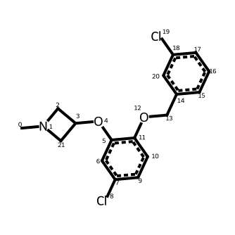 CN1CC(Oc2cc(Cl)ccc2OCc2cccc(Cl)c2)C1